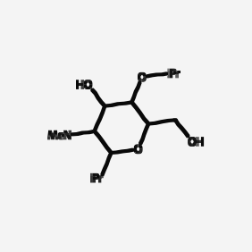 CNC1C(O)C(OC(C)C)C(CO)OC1C(C)C